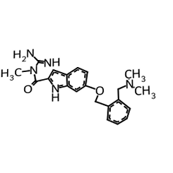 CN(C)Cc1ccccc1COc1ccc2cc(C(=O)N(C)C(=N)N)[nH]c2c1